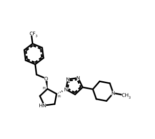 CN1CCC(c2cn([C@@H]3CNC[C@H]3OCc3ccc(C(F)(F)F)cc3)nn2)CC1